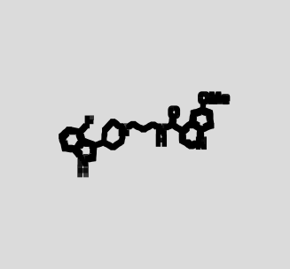 COc1ccc2nccc(C(=O)NCCCN3CCC(c4c[nH]c5cccc(F)c45)CC3)c2c1